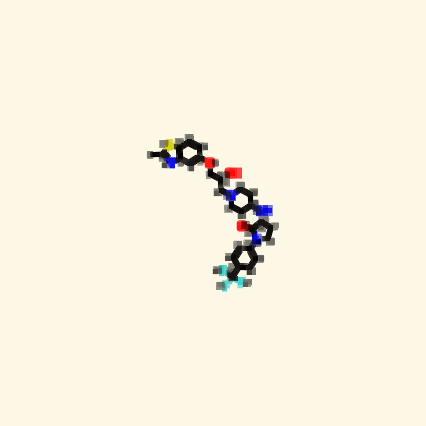 Cc1nc2cc(OC[C@H](O)CN3CCC(N[C@@H]4CCN(c5ccc(C(F)(F)F)cc5)C4=O)CC3)ccc2s1